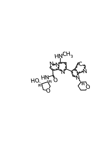 CNc1cc(-c2cn([C@@H]3CCCOC3)c3ncccc23)nc2c(C(=O)N[C@@H]3COC[C@@H]3O)cnn12